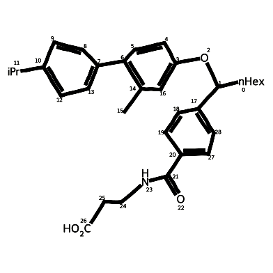 CCCCCCC(Oc1ccc(-c2ccc(C(C)C)cc2)c(C)c1)c1ccc(C(=O)NCCC(=O)O)cc1